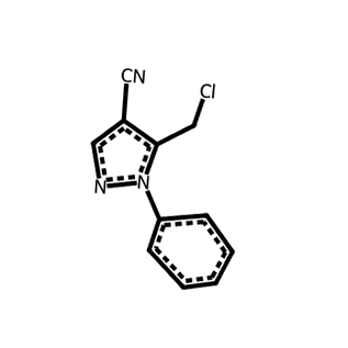 N#Cc1cnn(-c2ccccc2)c1CCl